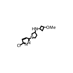 CO[C@H]1C[C@@H](NC2CCN(c3ccc(Cl)nn3)C2)C1